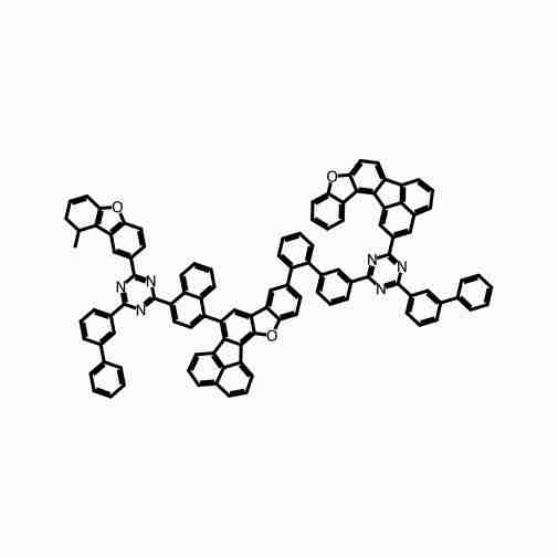 CC1CC=Cc2oc3ccc(-c4nc(-c5cccc(-c6ccccc6)c5)nc(-c5ccc(-c6cc7c(oc8ccc(-c9ccccc9-c9cccc(-c%10nc(-c%11cccc(-c%12ccccc%12)c%11)nc(-c%11cc%12c%13c(cccc%13c%11)-c%11ccc%13oc%14ccccc%14c%13c%11-%12)n%10)c9)cc87)c7c6-c6cccc8cccc-7c68)c6ccccc56)n4)cc3c21